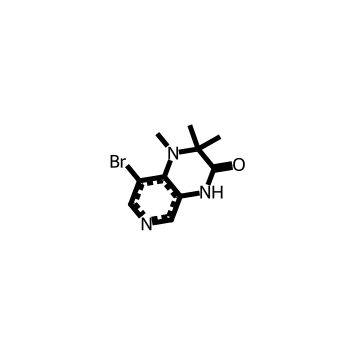 CN1c2c(Br)cncc2NC(=O)C1(C)C